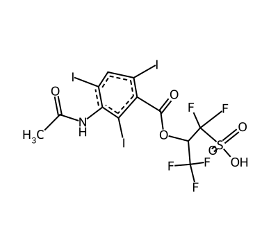 CC(=O)Nc1c(I)cc(I)c(C(=O)OC(C(F)(F)F)C(F)(F)S(=O)(=O)O)c1I